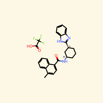 Cc1ccc(C(=O)N[C@@H]2CCC[C@H](c3nc4ccccc4[nH]3)C2)c2ccccc12.O=C(O)C(F)(F)F